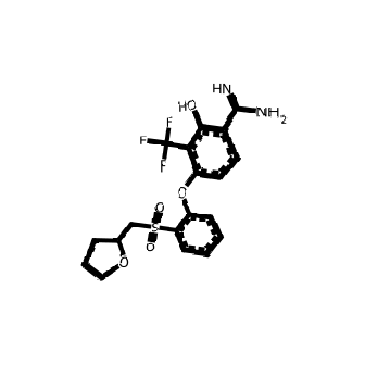 N=C(N)c1ccc(Oc2ccccc2S(=O)(=O)CC2CCCO2)c(C(F)(F)F)c1O